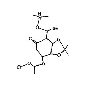 CCOC(C)OC1CC(=O)C(C(O[SiH](C)C)C(C)(C)C)C2OC(C)(C)OC12